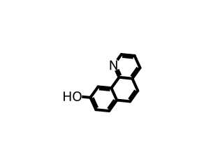 Oc1ccc2ccc3cccnc3c2c1